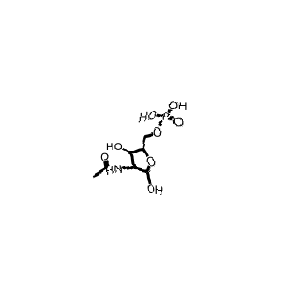 CC(=O)NC1C(O)O[C@H](COP(=O)(O)O)[C@@H]1O